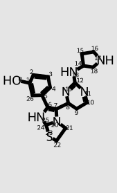 Oc1cccc(C2=C(C3CC=NC(NC4CCNC4)=N3)N3CCSC3N2)c1